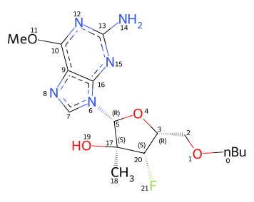 CCCCOC[C@H]1O[C@@H](n2cnc3c(OC)nc(N)nc32)[C@](C)(O)[C@H]1F